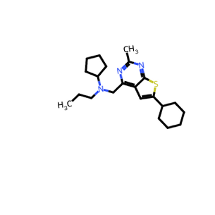 CCCN(Cc1nc(C)nc2sc(C3CCCCC3)cc12)C1CCCC1